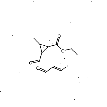 CC=CC=O.CCOC(=O)C1C(C)C1C=O